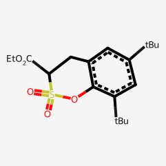 CCOC(=O)C1Cc2cc(C(C)(C)C)cc(C(C)(C)C)c2OS1(=O)=O